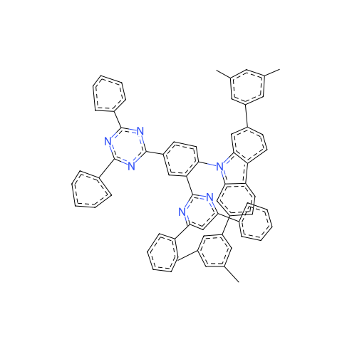 Cc1cc(C)cc(-c2ccc3c4ccc(-c5cc(C)cc(C)c5)cc4n(-c4ccc(-c5nc(-c6ccccc6)nc(-c6ccccc6)n5)cc4-c4nc(-c5ccccc5)cc(-c5ccccc5)n4)c3c2)c1